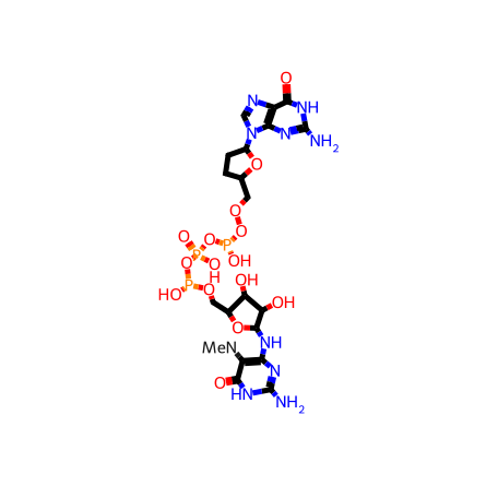 CNc1c(NC2OC(COP(O)OP(=O)(O)OP(O)OOCC3CCC(n4cnc5c(=O)[nH]c(N)nc54)O3)C(O)C2O)nc(N)[nH]c1=O